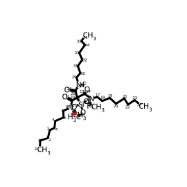 CCCCCCCCN(F)C(=O)C(C(=O)N(F)CCCCCCCC)(C(=O)N(F)CCCCCCCC)[Si](OC)(OC)OC